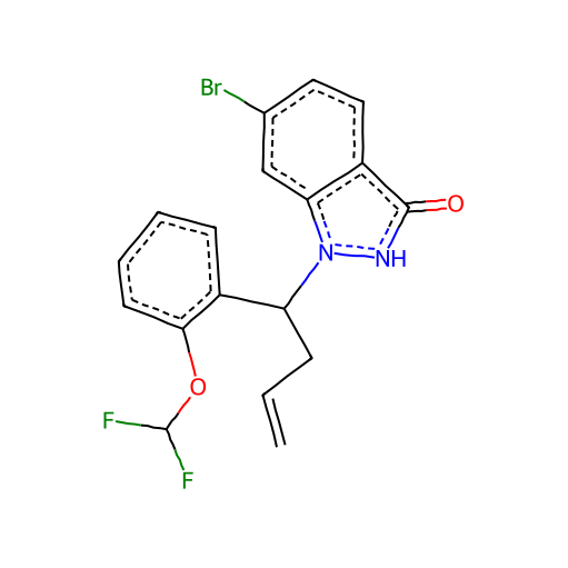 C=CCC(c1ccccc1OC(F)F)n1[nH]c(=O)c2ccc(Br)cc21